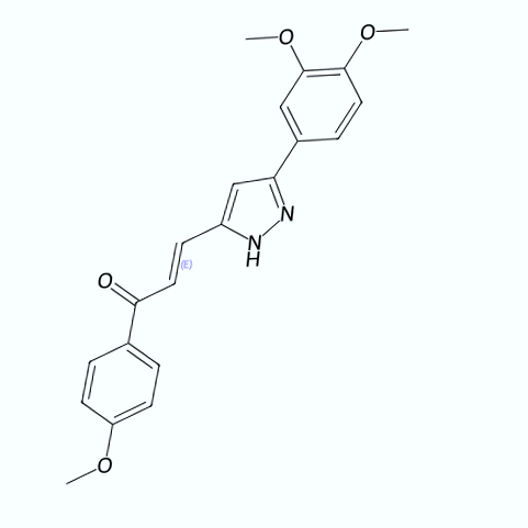 COc1ccc(C(=O)/C=C/c2cc(-c3ccc(OC)c(OC)c3)n[nH]2)cc1